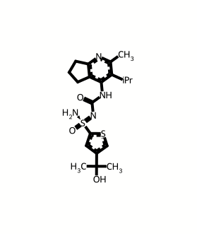 Cc1nc2c(c(NC(=O)N=[S@@](N)(=O)c3cc(C(C)(C)O)cs3)c1C(C)C)CCC2